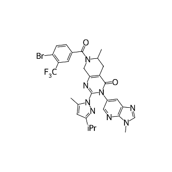 Cc1cc(C(C)C)nn1-c1nc2c(c(=O)n1-c1cnc3c(c1)ncn3C)CC(C)N(C(=O)c1ccc(Br)c(C(F)(F)F)c1)C2